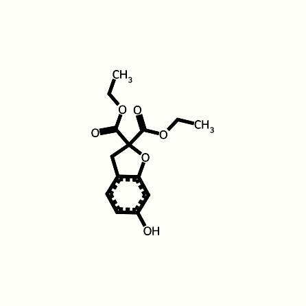 CCOC(=O)C1(C(=O)OCC)Cc2ccc(O)cc2O1